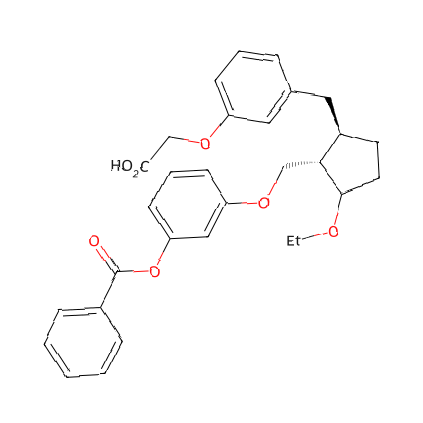 CCOC1CC[C@H](Cc2cccc(OCC(=O)O)c2)[C@H]1COc1cccc(OC(=O)c2ccccc2)c1